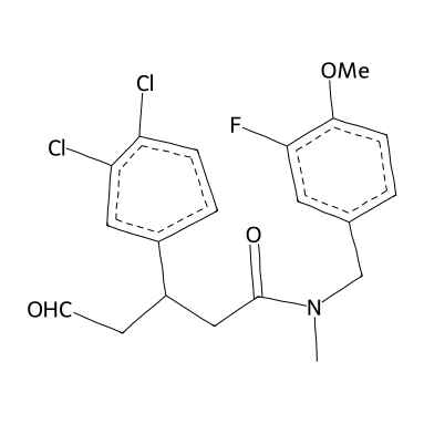 COc1ccc(CN(C)C(=O)CC(CC=O)c2ccc(Cl)c(Cl)c2)cc1F